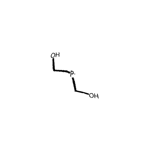 OC[P]CO